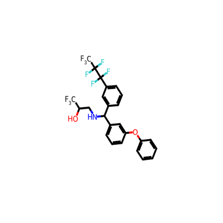 OC(CNC(c1cccc(Oc2ccccc2)c1)c1cccc(C(F)(F)C(F)(F)C(F)(F)F)c1)C(F)(F)F